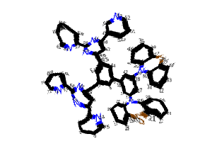 c1ccc(-c2cc(-c3cc(-c4cc(N5c6ccccc6Sc6ccccc65)cc(N5c6ccccc6Sc6ccccc65)c4)cc(-c4cc(-c5cccnc5)nc(-c5ccccn5)n4)c3)nc(-c3ccccn3)n2)nc1